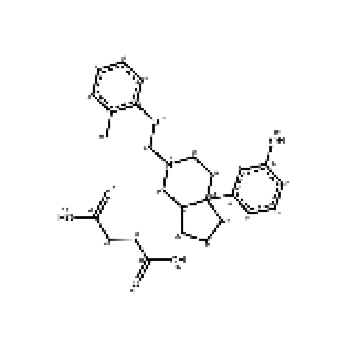 Cc1ccccc1OCN1CCC2(c3cccc(O)c3)CCCC2C1.O=C(O)CCC(=O)O